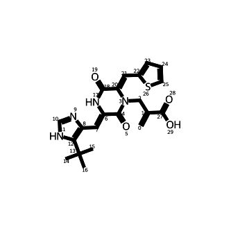 C=C(Cn1c(=O)/c(=C/c2nc[nH]c2C(C)(C)C)[nH]c(=O)/c1=C/c1cccs1)C(=O)O